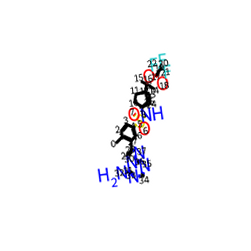 Cc1ccc(S(=O)(=O)NC23CCC(C(C)(C)OC(=O)C(F)(F)F)(CC2)C3)cc1-c1cn2c(N)ncnc2n1